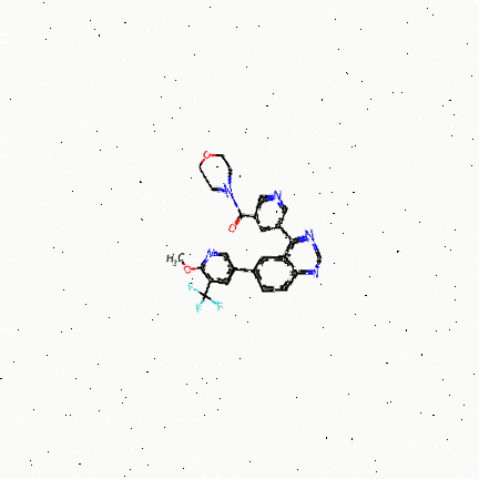 COc1ncc(-c2ccc3ncnc(-c4cncc(C(=O)N5CCOCC5)c4)c3c2)cc1C(F)(F)F